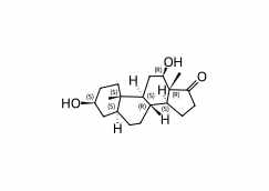 C[C@]12CC[C@H](O)C[C@@H]1CC[C@@H]1[C@@H]2C[C@@H](O)[C@]2(C)C(=O)CC[C@@H]12